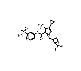 CS(=N)(=O)c1cc(NC(=O)c2c(C(F)(F)F)c(C3CC3)nn2CC2CC3C2C3(F)F)ccn1